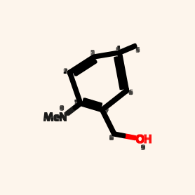 CNc1ccc(C)cc1CO